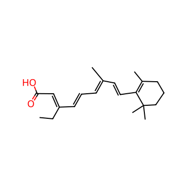 CCC(C=CC=C(C)C=CC1=C(C)CCCC1(C)C)=CC(=O)O